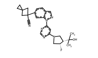 CC(C)(O)[C@H]1CN(c2cc(-n3ncc4ccc(C5(C#N)CC6(CC6)C5)cc43)ncn2)C[C@H]1F